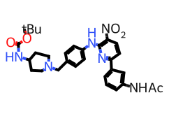 CC(=O)Nc1cccc(-c2ccc([N+](=O)[O-])c(Nc3ccc(CN4CCC(NC(=O)OC(C)(C)C)CC4)cc3)n2)c1